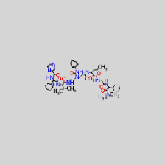 CCC[C@H](NC(=O)CCN(CCNC(=O)[C@@H](NC(=O)[C@@H](NC(=O)c1cnccn1)C1CCCCC1)C(C)C)C(=O)Nc1ccccc1)C(=O)C(=O)NCC(=O)N[C@H](C(=O)N(C)C)C1CCCCC1